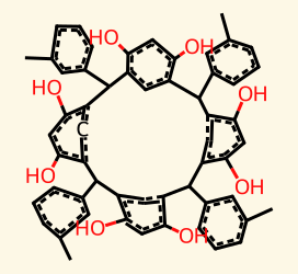 Cc1cccc(C2c3cc(c(O)cc3O)C(c3cccc(C)c3)c3cc(c(O)cc3O)C(c3cccc(C)c3)c3cc(c(O)cc3O)C(c3cccc(C)c3)c3cc2c(O)cc3O)c1